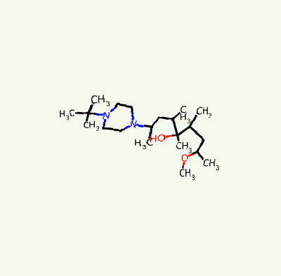 COC(C)CC(C)C(C)(O)C(C)CC(C)N1CCN(C(C)(C)C)CC1